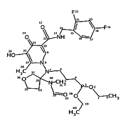 CCOP(CCCN(n1cc(C(=O)NCc2ccc(F)cc2F)c(=O)c(O)c1C)C1(N(C)C=O)CCOC1)OCC